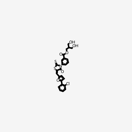 O=C(OCC(CO)CO)c1cccc(N2C(=O)/C(=C\c3ccc(-c4ccccc4Cl)o3)SC2=S)c1